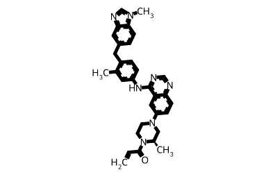 C=CC(=O)N1CCN(c2ccc3ncnc(Nc4ccc(Cc5ccc6c(c5)ncn6C)c(C)c4)c3c2)C[C@H]1C